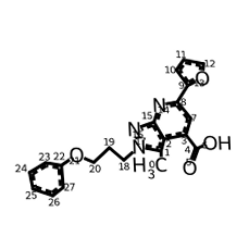 Cc1c2c(C(=O)O)cc(-c3ccco3)nc2nn1CCCOc1ccccc1